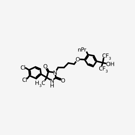 CCCc1cc(C(O)(C(F)(F)F)C(F)(F)F)ccc1OCCCCN1C(=O)NC(C)(c2ccc(Cl)c(Cl)c2)C1=O